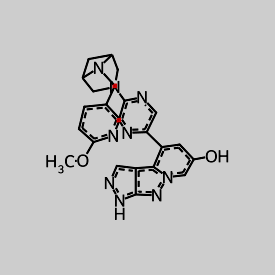 COc1ccc(CN2C3CC2CN(c2cnc(-c4cc(O)cn5nc6[nH]ncc6c45)cn2)C3)cn1